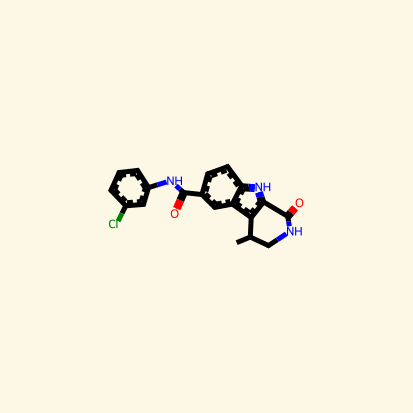 CC1CNC(=O)c2[nH]c3ccc(C(=O)Nc4cccc(Cl)c4)cc3c21